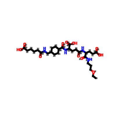 CCOCCCNC(=O)C(CCC(=O)O)NC(=O)CCC(NC(=O)C1CCC(CNC(=O)CCCCC(=O)O)CC1)C(=O)O